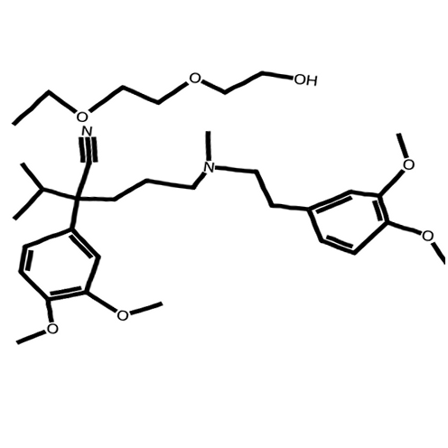 CCOCCOCCO.COc1ccc(CCN(C)CCCC(C#N)(c2ccc(OC)c(OC)c2)C(C)C)cc1OC